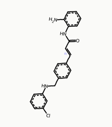 Nc1ccccc1NC(=O)/C=C/c1ccc(CNc2cccc(Cl)c2)cc1